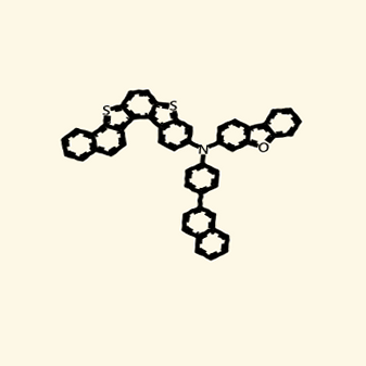 c1ccc2cc(-c3ccc(N(c4ccc5c(c4)oc4ccccc45)c4ccc5c(c4)sc4ccc6sc7c8ccccc8ccc7c6c45)cc3)ccc2c1